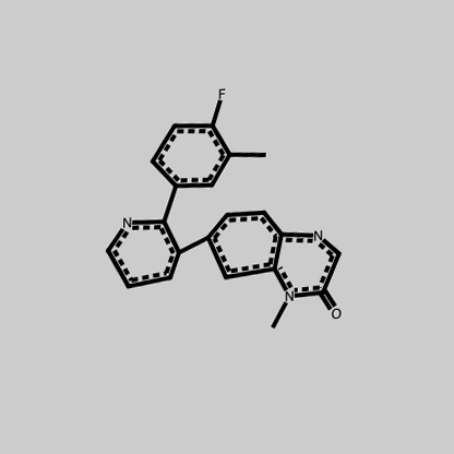 Cc1cc(-c2ncccc2-c2ccc3ncc(=O)n(C)c3c2)ccc1F